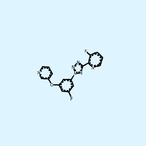 Fc1cc(Oc2cccnc2)cc(-n2nnc(-c3ncccc3F)n2)c1